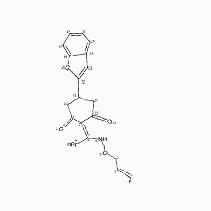 C=CCONC(CCC)=C1C(=O)CC(c2cc3ccccc3o2)CC1=O